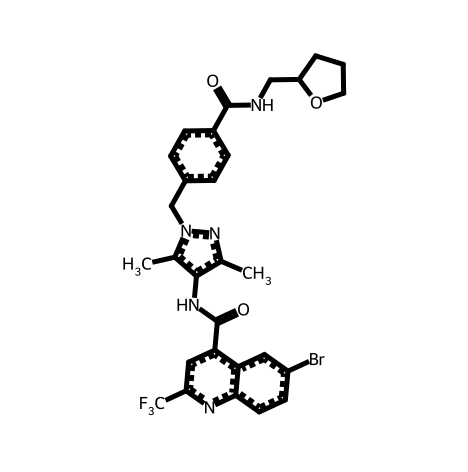 Cc1nn(Cc2ccc(C(=O)NCC3CCCO3)cc2)c(C)c1NC(=O)c1cc(C(F)(F)F)nc2ccc(Br)cc12